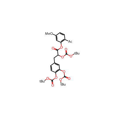 COc1ccc(C(C)=O)c(OC(=O)C(Cc2ccc(OC(=O)OC(C)(C)C)c(OC(=O)OC(C)(C)C)c2)OC(=O)OC(C)(C)C)c1